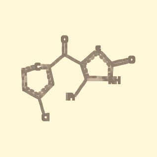 CC(C)c1[nH]c(=O)sc1C(=O)c1cccc(Cl)c1